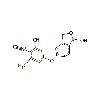 [C-]#[N+]c1c(C)cc(Oc2ccc3c(c2)COB3O)cc1C